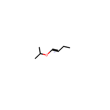 CC/C=C/OC(C)C